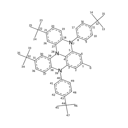 Cc1cc2c3c(c1)N(c1ccc(C(C)(C)C)cc1)c1ccc(C(C)(C)C)cc1N3c1cc(C(C)(C)C)ccc1N2c1ccc(C(C)(C)C)cc1